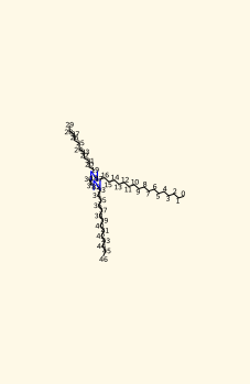 CCCCCCCCCCCCCCCCCC1N(CCCCCCCCCCC)C=CN1CCCCCCCCCCCCCC